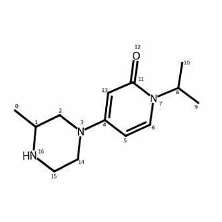 CC1CN(c2ccn(C(C)C)c(=O)c2)CCN1